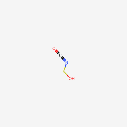 O=C=NSO